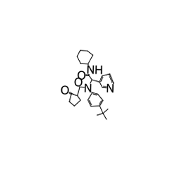 CC(C)(C)c1ccc(N(C(=O)C2CCCC2=O)C(C(=O)NC2CCCCC2)c2cccnc2)cc1